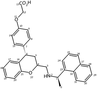 C[C@@H](NCC1C[C@@H](c2ccc(OCC(=O)O)cc2)c2ccccc2O1)c1cccc2ccccc12